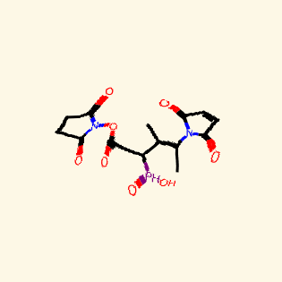 CC(C(C)N1C(=O)C=CC1=O)C(C(=O)ON1C(=O)CCC1=O)[PH](=O)O